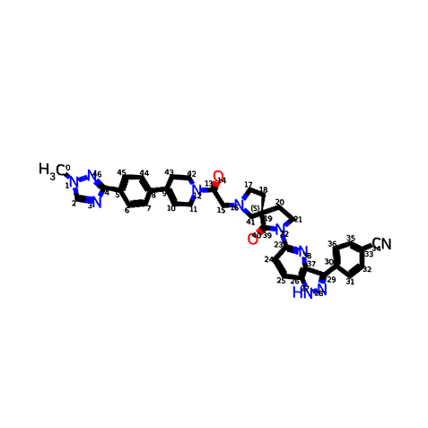 Cn1cnc(-c2ccc(C3=CCN(C(=O)CN4CC[C@]5(CCN(c6ccc7[nH]nc(-c8ccc(C#N)cc8)c7n6)C5=O)C4)CC3)cc2)n1